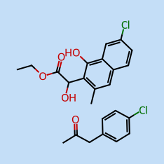 CC(=O)Cc1ccc(Cl)cc1.CCOC(=O)C(O)c1c(C)cc2ccc(Cl)cc2c1O